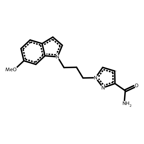 COc1ccc2ccn(CCCn3c[c]c(C(N)=O)n3)c2c1